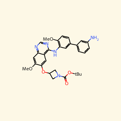 COc1ccc(-c2cccc(N)c2)cc1Nc1ncnc2cc(OC)c(OC3CN(C(=O)OC(C)(C)C)C3)cc12